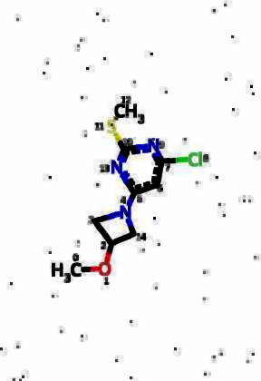 COC1CN(c2cc(Cl)nc(SC)n2)C1